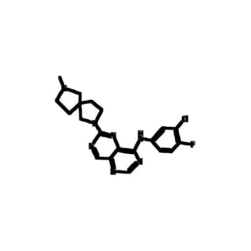 CN1CCC2(CCN(c3ncc4ncnc(Nc5ccc(F)c(Cl)c5)c4n3)C2)C1